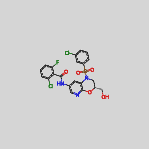 O=C(Nc1cnc2c(c1)N(S(=O)(=O)c1cccc(Cl)c1)C[C@H](CO)O2)c1c(F)cccc1Cl